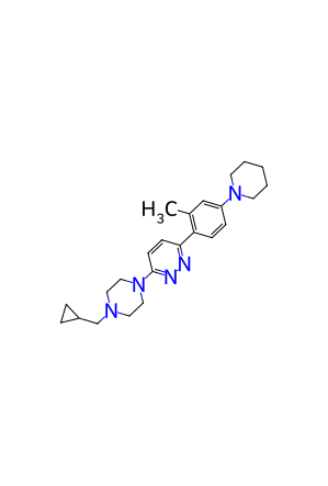 Cc1cc(N2CCCCC2)ccc1-c1ccc(N2CCN(CC3CC3)CC2)nn1